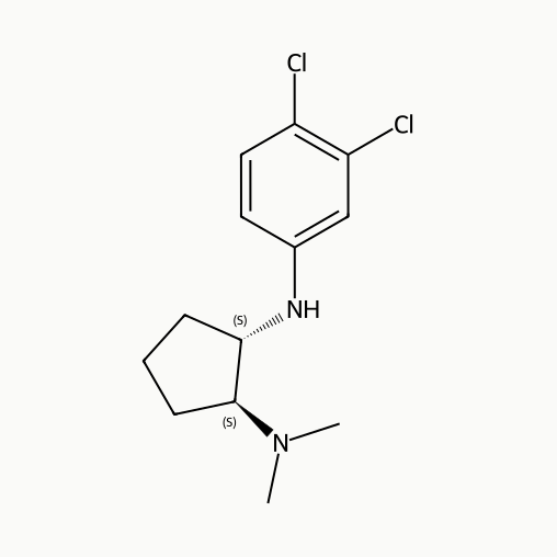 CN(C)[C@H]1CCC[C@@H]1Nc1ccc(Cl)c(Cl)c1